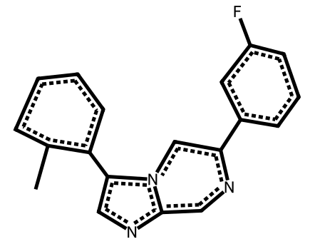 Cc1ccccc1-c1cnc2cnc(-c3cccc(F)c3)cn12